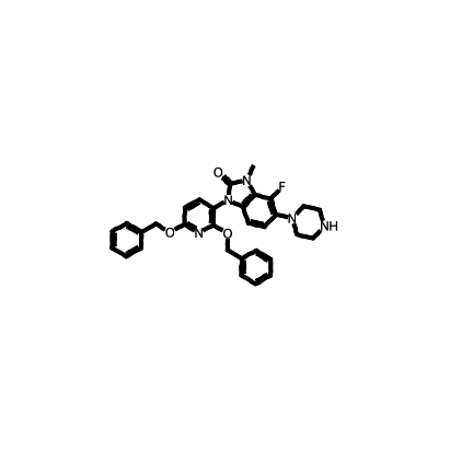 Cn1c(=O)n(-c2ccc(OCc3ccccc3)nc2OCc2ccccc2)c2ccc(N3CCNCC3)c(F)c21